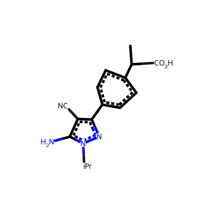 CC(C(=O)O)c1ccc(-c2nn(C(C)C)c(N)c2C#N)cc1